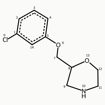 Clc1cccc(OC[C]2CNCCO2)c1